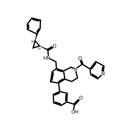 O=C(O)c1cccc(-c2ccc(CNC(=O)[C@H]3C[C@H]3c3ccccc3)c3c2CCN(C(=O)c2ccncc2)C3)c1